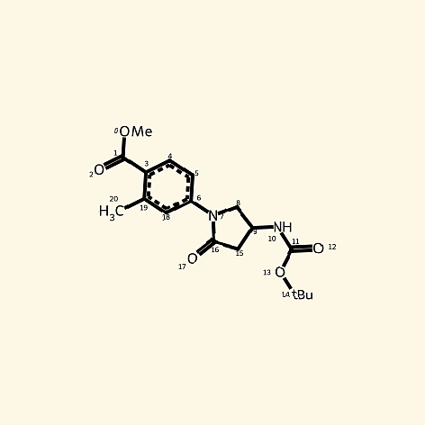 COC(=O)c1ccc(N2CC(NC(=O)OC(C)(C)C)CC2=O)cc1C